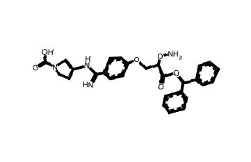 N=C(NC1CCN(C(=O)O)C1)c1ccc(OCC(ON)C(=O)OC(c2ccccc2)c2ccccc2)cc1